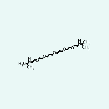 CC(C)NCCOCCOCCCOCCCOCCOCCNC(C)C